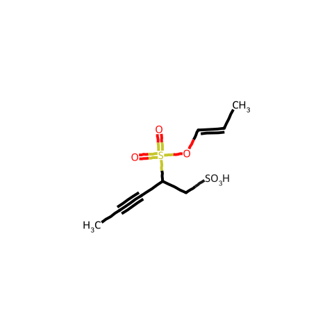 CC#CC(CS(=O)(=O)O)S(=O)(=O)OC=CC